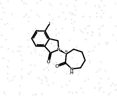 O=C1NCCCC[C@@H]1N1Cc2c(I)cccc2C1=O